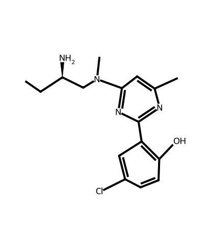 CC[C@@H](N)CN(C)c1cc(C)nc(-c2cc(Cl)ccc2O)n1